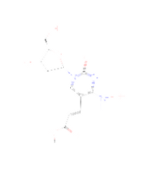 COC(=O)/C=C/c1cn([C@H]2C[C@H](O)[C@@H](CO)O2)c(=O)nc1NO